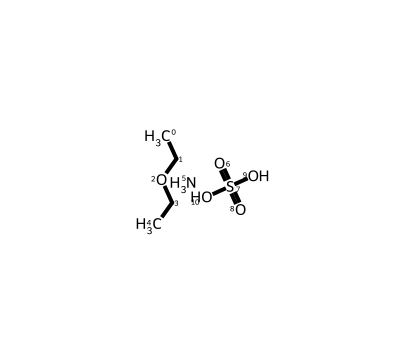 CCOCC.N.O=S(=O)(O)O